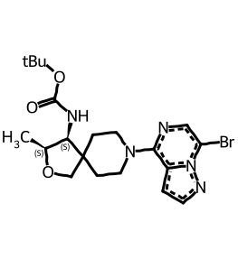 C[C@@H]1OCC2(CCN(c3ncc(Br)n4nccc34)CC2)[C@@H]1NC(=O)OC(C)(C)C